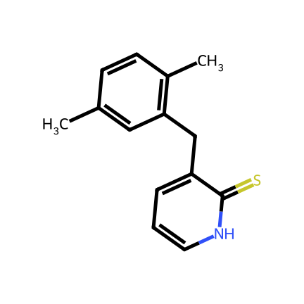 Cc1ccc(C)c(Cc2ccc[nH]c2=S)c1